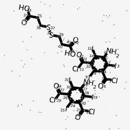 Nc1c(I)c(C(=O)Cl)c(I)c(C(=O)Cl)c1I.Nc1c(I)c(C(=O)Cl)c(I)c(C(=O)Cl)c1I.O=C(O)CCSSCCC(=O)O